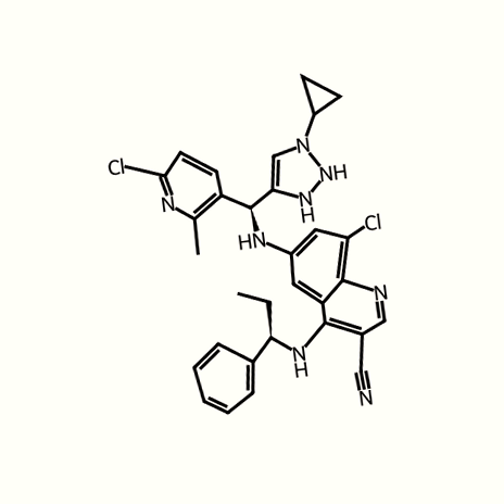 CC[C@@H](Nc1c(C#N)cnc2c(Cl)cc(N[C@H](C3=CN(C4CC4)NN3)c3ccc(Cl)nc3C)cc12)c1ccccc1